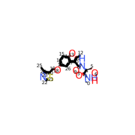 CNC(=O)[C@H](CO)NC(=O)c1c(C)oc2ccc(OCc3scnc3C)cc12